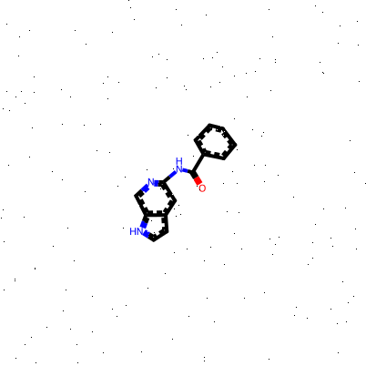 O=C(Nc1cc2cc[nH]c2cn1)c1ccccc1